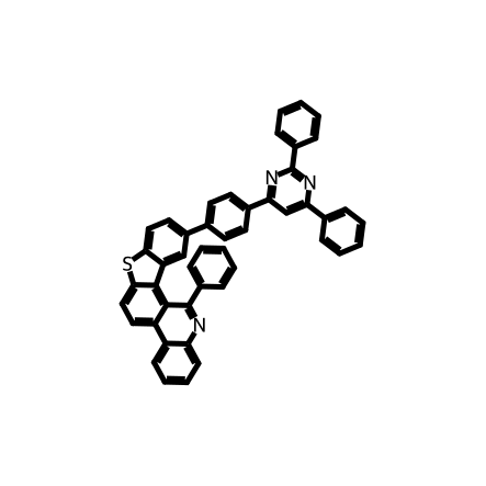 c1ccc(-c2cc(-c3ccc(-c4ccc5sc6ccc7c8ccccc8nc(-c8ccccc8)c7c6c5c4)cc3)nc(-c3ccccc3)n2)cc1